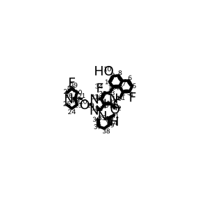 C#Cc1c(F)ccc2cc(O)cc(-c3nc4c5c(nc(OC[C@@]67CCCN6C[C@H](F)C7)nc5c3F)N3C=CCC[C@H]3CO4)c12